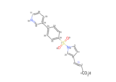 O=C(O)/C=C/c1ccn(S(=O)(=O)c2ccc(-c3cccnc3)cc2)c1